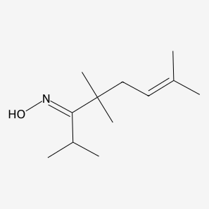 CC(C)=CCC(C)(C)C(=NO)C(C)C